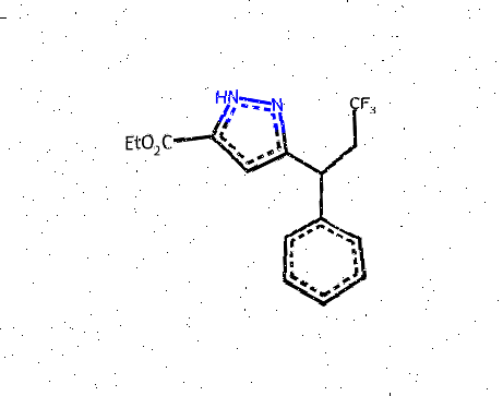 CCOC(=O)c1cc(C(CC(F)(F)F)c2ccccc2)n[nH]1